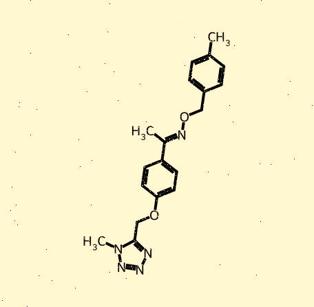 C/C(=N\OCc1ccc(C)cc1)c1ccc(OCc2nnnn2C)cc1